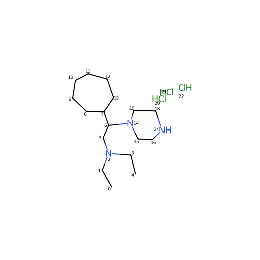 CCN(CC)CC(C1CCCCCC1)N1CCNCC1.Cl.Cl.Cl